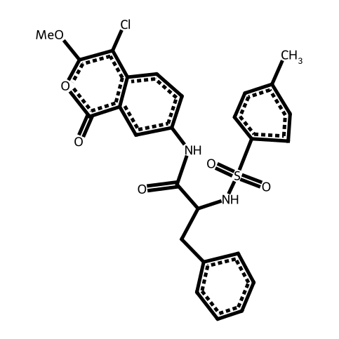 COc1oc(=O)c2cc(NC(=O)C(Cc3ccccc3)NS(=O)(=O)c3ccc(C)cc3)ccc2c1Cl